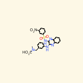 CN(Cc1cccc(Nc2nc3ccccc3nc2NS(=O)(=O)c2cccc([N+](=O)[O-])c2)c1)C(=O)O